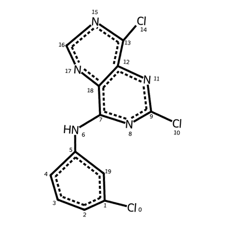 Clc1cccc(Nc2nc(Cl)nc3c(Cl)ncnc23)c1